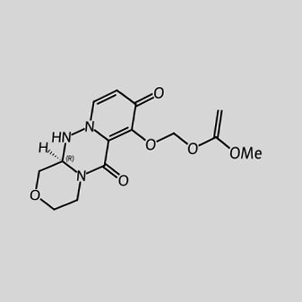 C=C(OC)OCOc1c2n(ccc1=O)N[C@@H]1COCCN1C2=O